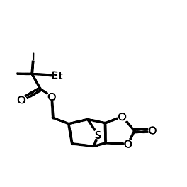 CCC(C)(I)C(=O)OCC1CC2SC1C1OC(=O)OC21